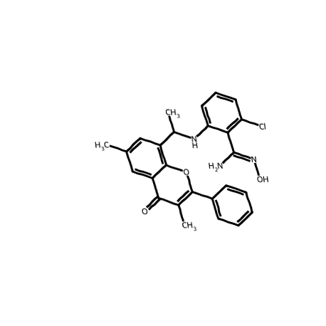 Cc1cc(C(C)Nc2cccc(Cl)c2C(N)=NO)c2oc(-c3ccccc3)c(C)c(=O)c2c1